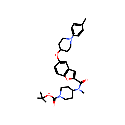 Cc1ccc(N2CCC(Oc3ccc4oc(C(=O)N(C)C5CCN(C(=O)OC(C)(C)C)CC5)cc4c3)CC2)cc1